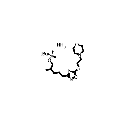 CC(CCCc1noc(SCCN2CCOCC2)n1)CO[Si](C)(C)C(C)(C)C.N